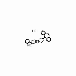 CCCCCCCCC(C#N)(CCCN1CCC(=C2c3ccccc3C=Cc3ccccc32)CC1)c1ccccc1.Cl